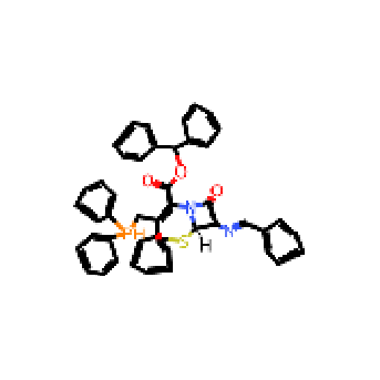 O=C(OC(c1ccccc1)c1ccccc1)C1=C(C[PH](c2ccccc2)(c2ccccc2)c2ccccc2)CS[C@@H]2C(/N=C/c3ccccc3)C(=O)N12